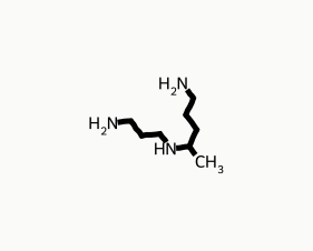 CC(CCCN)NCCCN